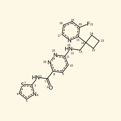 O=C(Nc1nccs1)c1ccc(NCC2(c3ncccc3F)CCC2)nn1